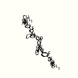 Cn1nnc(-c2ccc(-c3ccc(N4C[C@H](COC(=O)OC[C@H]5CN(c6ccc(-c7ccc(-c8nnn(C)n8)nc7)c(F)c6)C(=O)O5)OC4=O)cc3F)cn2)n1